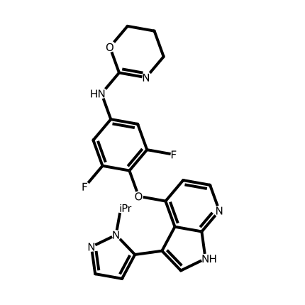 CC(C)n1nccc1-c1c[nH]c2nccc(Oc3c(F)cc(NC4=NCCCO4)cc3F)c12